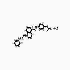 CC(C=O)Cc1ccc(NCc2cccc3c2CCCN3CCOc2ccccc2)cc1